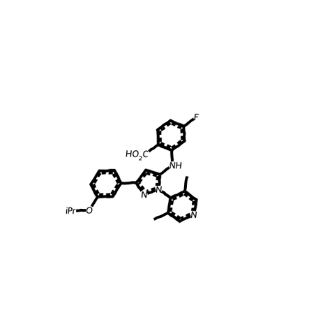 Cc1cncc(C)c1-n1nc(-c2cccc(OC(C)C)c2)cc1Nc1cc(F)ccc1C(=O)O